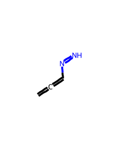 C=C=CN=N